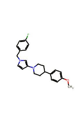 COc1ccc(C2CCN(c3ccn(Cc4ccc(F)cc4)c3)CC2)cc1